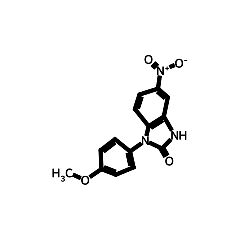 COc1ccc(-n2c(=O)[nH]c3cc([N+](=O)[O-])ccc32)cc1